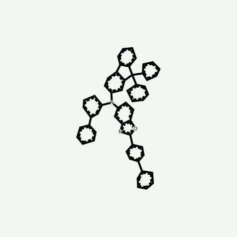 c1ccc(-c2ccc(-c3nc4cc(N(c5cccc(-c6ccccc6)c5)c5ccc6c(c5)C(c5ccccc5)(c5ccccc5)c5ccccc5-6)ccc4o3)cc2)cc1